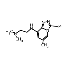 Cc1cc(NCCN(C)C)c2nnc(C(C)C)n2c1